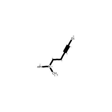 CCC#CCCN(C)CCC